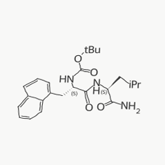 CC(C)C[C@H](NC(=O)[C@H](Cc1cccc2ccccc12)NC(=O)OC(C)(C)C)C(N)=O